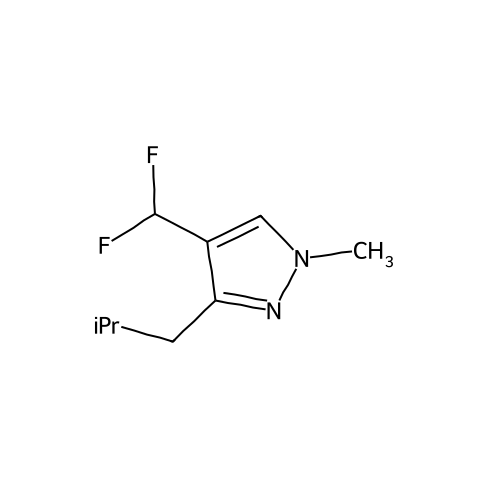 CC(C)Cc1nn(C)cc1C(F)F